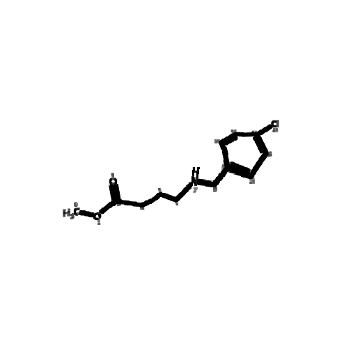 COC(=O)CCCNCc1ccc(Cl)cc1